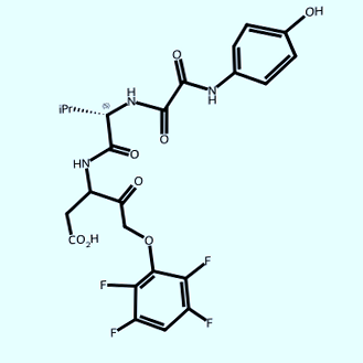 CC(C)[C@H](NC(=O)C(=O)Nc1ccc(O)cc1)C(=O)NC(CC(=O)O)C(=O)COc1c(F)c(F)cc(F)c1F